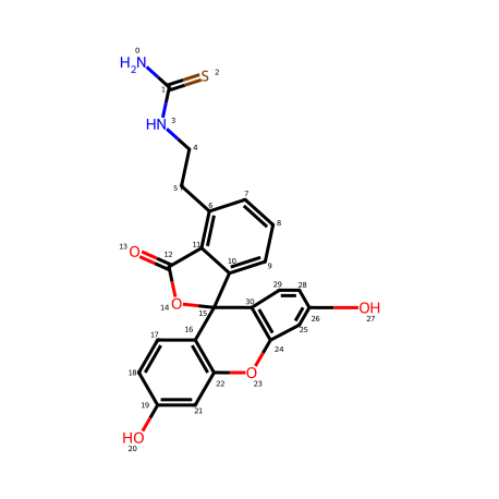 NC(=S)NC[CH]c1cccc2c1C(=O)OC21c2ccc(O)cc2Oc2cc(O)ccc21